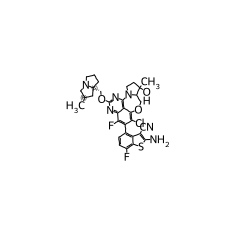 C[C@H]1CN2CCC[C@@]2(COc2nc3c4c(c(Cl)c(-c5ccc(F)c6sc(N)c(C#N)c56)c(F)c4n2)OCC2N3CCC2(C)O)C1